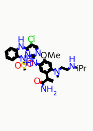 C=C(C(N)=O)c1cc(Nc2ncc(Cl)c(Nc3ccccc3NS(C)(=O)=O)n2)c(OC)cc1N(C)CCNC(C)C